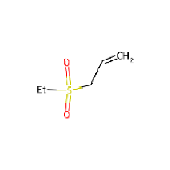 [CH2]CS(=O)(=O)CC=C